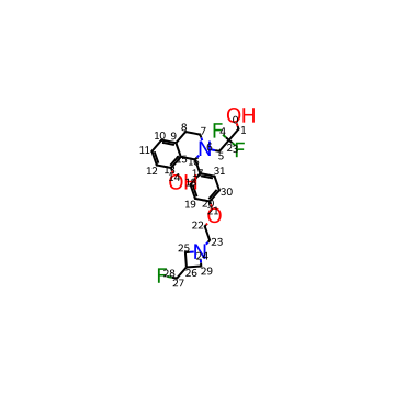 OCC(F)(F)CN1CCc2cccc(O)c2C1c1ccc(OCCN2CC(CF)C2)cc1